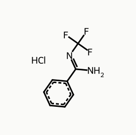 Cl.NC(=NC(F)(F)F)c1ccccc1